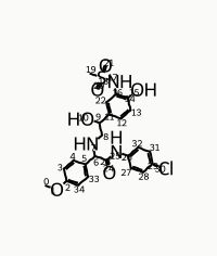 COc1ccc(C(NCC(O)c2ccc(O)c(NS(C)(=O)=O)c2)C(=O)Nc2ccc(Cl)cc2)cc1